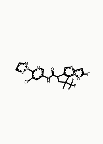 CC1(C(F)(F)F)CC(C(=O)Nc2cnc(-n3nccn3)c(Cl)c2)c2cnc3cc(F)nn3c21